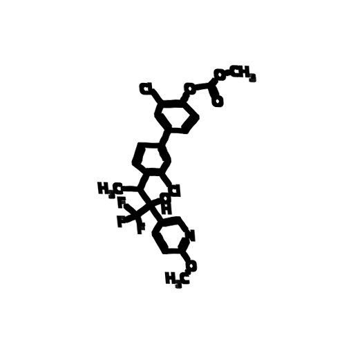 COC(=O)Oc1ccc(-c2ccc(C(C)C(O)(c3ccc(OC)nc3)C(F)(F)F)c(Cl)c2)cc1Cl